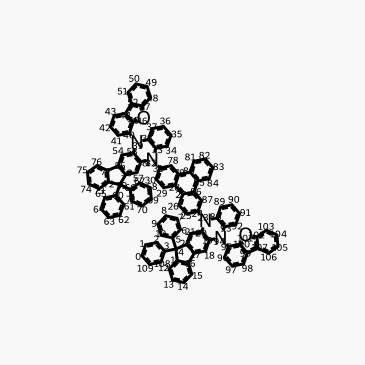 c1ccc(C2(c3ccccc3)c3ccccc3-c3cc4c(cc32)N(c2ccc3c5ccc(N6c7ccccc7N(c7cccc8c7oc7ccccc78)c7cc8c(cc76)C(c6ccccc6)(c6ccccc6)c6ccccc6-8)cc5c5ccccc5c3c2)c2ccccc2N4c2cccc3c2oc2ccccc23)cc1